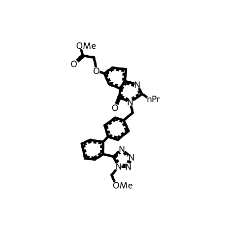 CCCc1nc2ccc(OCC(=O)OC)cc2c(=O)n1Cc1ccc(-c2ccccc2-c2nnnn2COC)cc1